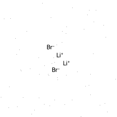 [Br-].[Br-].[Li+].[Li+]